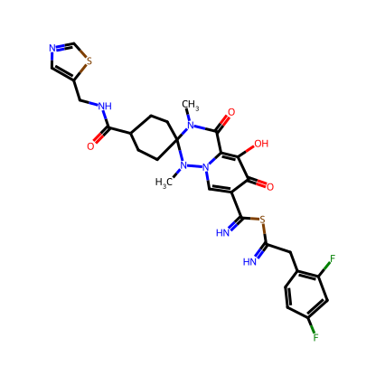 CN1C(=O)c2c(O)c(=O)c(C(=N)SC(=N)Cc3ccc(F)cc3F)cn2N(C)C12CCC(C(=O)NCc1cncs1)CC2